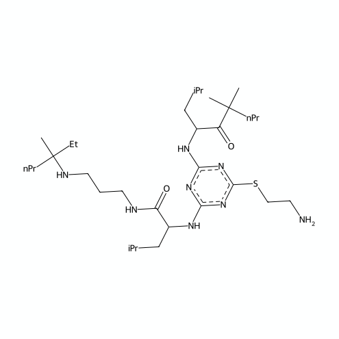 CCCC(C)(CC)NCCCNC(=O)C(CC(C)C)Nc1nc(NC(CC(C)C)C(=O)C(C)(C)CCC)nc(SCCN)n1